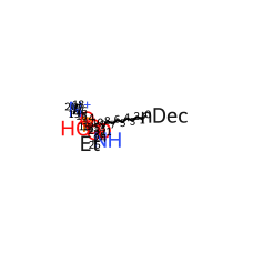 CCCCCCCCCCCCCCCCCCC(COP(O)OCC[N+](C)(C)C)OC(=O)NCC